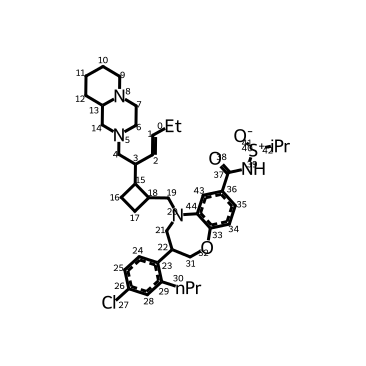 CC/C=C/C(CN1CCN2CCCCC2C1)C1CCC1CN1CC(c2ccc(Cl)cc2CCC)COc2ccc(C(=O)N[S+]([O-])C(C)C)cc21